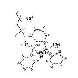 C[C@@H](O)CC(C)(C)Cc1cccc(C(O)(O)c2ccccc2)c1C(O)(O)c1ccccc1